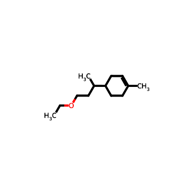 CCOCCC(C)C1CC=C(C)CC1